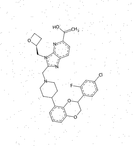 C=C(O)c1ccc2nc(CN3CCC(c4cccc5c4OC(c4ccc(Cl)cc4F)CO5)CC3)n(C[C@@H]3CCO3)c2n1